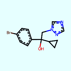 OC(Cn1cncn1)(c1ccc(Br)cc1)C1CC1